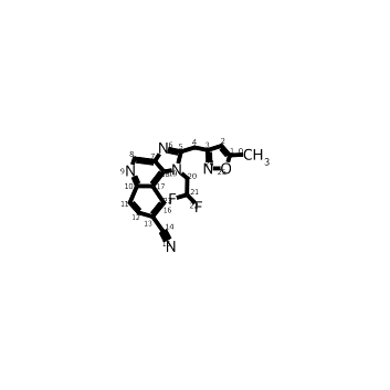 Cc1cc(Cc2nc3cnc4ccc(C#N)cc4c3n2CC(F)F)no1